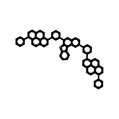 c1ccc(-c2ccc3ccc4c(-c5cccc(-c6ccc7cc(-c8cccc(-c9ccc%10ccc%11c(-c%12ccccc%12)ccc%12ccc9c%10c%12%11)c8)c8oc9ccccc9c8c7c6)c5)ccc5ccc2c3c54)cc1